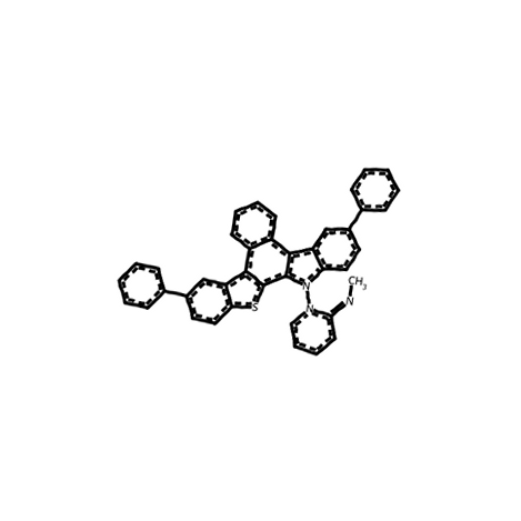 C/N=c1/ccccn1-n1c2ccc(-c3ccccc3)cc2c2c3ccccc3c3c4cc(-c5ccccc5)ccc4sc3c21